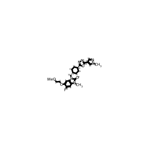 COCCOc1cc2c(cc1F)n(C)c(=O)n2C[C@H]1CC[C@H](c2nnc(-c3cnn(C)c3)o2)CC1